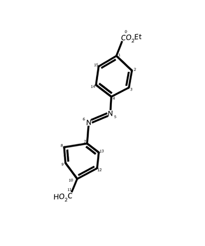 CCOC(=O)c1ccc(N=Nc2ccc(C(=O)O)cc2)cc1